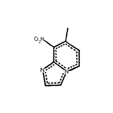 Cc1ccn2ccnc2c1[N+](=O)[O-]